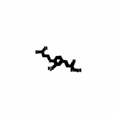 CCN(CC)CCSc1ccc(C=CC(=O)NO)cc1N